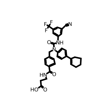 N#Cc1cc(NC(=O)N(Cc2ccc(C(=O)NCCC(=O)O)cc2)c2ccc(C3=CCCCC3)cc2)cc(C(F)(F)F)c1